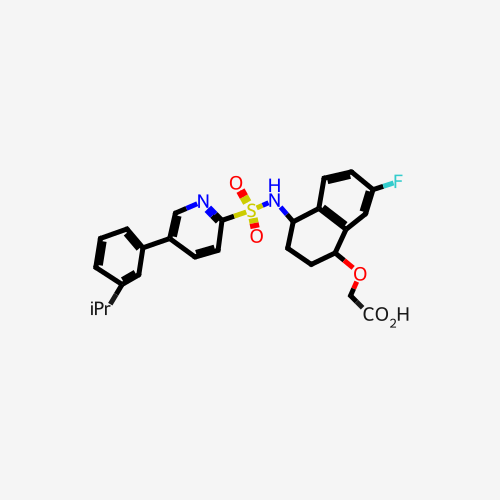 CC(C)c1cccc(-c2ccc(S(=O)(=O)NC3CCC(OCC(=O)O)c4cc(F)ccc43)nc2)c1